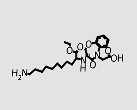 CCOC(=O)C(CCCCCCCCCN)N[C@H]1COc2ccccc2N(CC(=O)O)C1=O